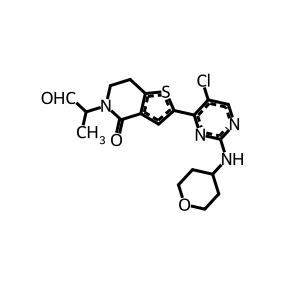 CC(C=O)N1CCc2sc(-c3nc(NC4CCOCC4)ncc3Cl)cc2C1=O